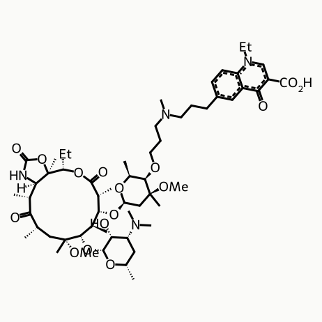 CC[C@@H]1OC(=O)[C@H](C)[C@H](O[C@@H]2C[C@](C)(OC)[C@H](OCCCN(C)CCCc3ccc4c(c3)c(=O)c(C(=O)O)cn4CC)[C@H](C)O2)[C@@H](C)[C@H](O[C@H]2O[C@@H](C)C[C@@H](N(C)C)[C@H]2O)[C@](C)(OC)C[C@H](C)C(=O)[C@H](C)[C@H]2NC(=O)O[C@@]12C